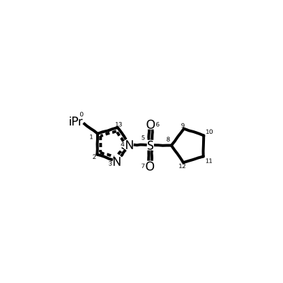 CC(C)c1cnn(S(=O)(=O)C2CCCC2)c1